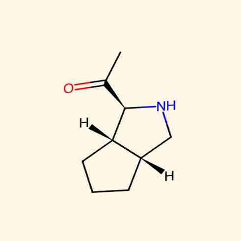 CC(=O)[C@H]1NC[C@@H]2CCC[C@@H]21